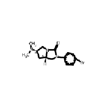 CN(C)[C@@H]1C[C@H]2CN(c3ccc(Br)cc3)C(=O)N2C1